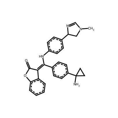 CN1C=NC(c2ccc(N/C(=C3\C(=O)Oc4ccccc43)c3ccc(C4(N)CC4)cc3)cc2)C1